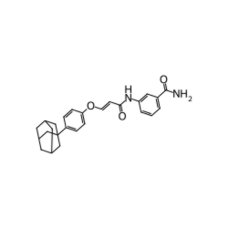 NC(=O)c1cccc(NC(=O)C=COc2ccc(C34CC5CC(CC(C5)C3)C4)cc2)c1